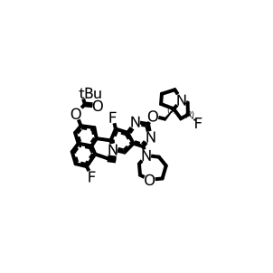 C#Cc1c(F)ccc2cc(OC(=O)C(C)(C)C)cc(-c3ncc4c(N5CCCOCC5)nc(OC[C@@]56CCCN5C[C@H](F)C6)nc4c3F)c12